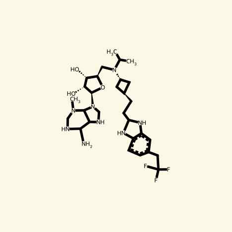 CC(C)N(C[C@H]1O[C@@H](N2CNC3C(N)NCN(C)C32)[C@H](O)[C@@H]1O)[C@H]1C[C@H](CCC2Nc3ccc(CC(F)(F)F)cc3N2)C1